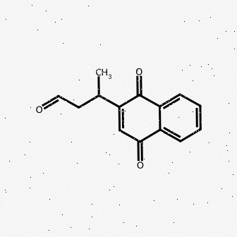 CC(CC=O)C1=CC(=O)c2ccccc2C1=O